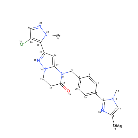 COc1cn(C)c(-c2ccc(CN3C(=O)CCn4nc(-c5c(Cl)cnn5C(C)C)cc43)cc2)n1